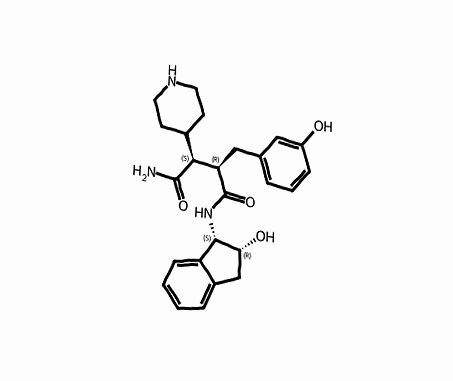 NC(=O)[C@@H](C1CCNCC1)[C@@H](Cc1cccc(O)c1)C(=O)N[C@H]1c2ccccc2C[C@H]1O